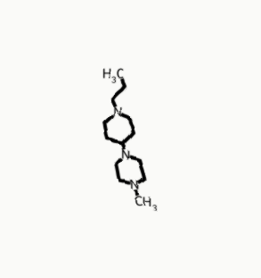 CCCN1CCC(N2CCN(C)CC2)CC1